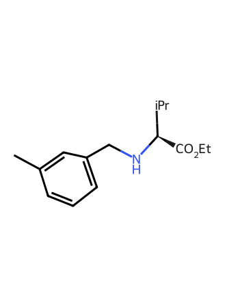 CCOC(=O)[C@@H](NCc1cccc(C)c1)C(C)C